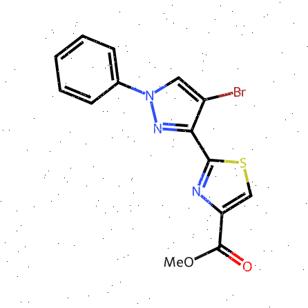 COC(=O)c1csc(-c2nn(-c3ccccc3)cc2Br)n1